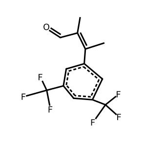 C/C(C=O)=C(\C)c1cc(C(F)(F)F)cc(C(F)(F)F)c1